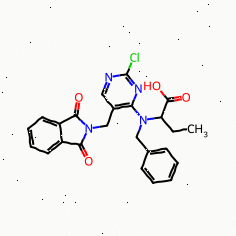 CCC(C(=O)O)N(Cc1ccccc1)c1nc(Cl)ncc1CN1C(=O)c2ccccc2C1=O